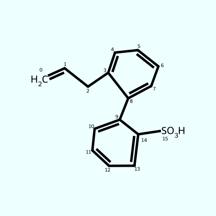 C=CCc1ccccc1-c1ccccc1S(=O)(=O)O